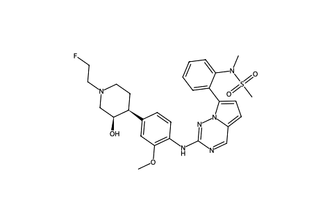 COc1cc([C@@H]2CCN(CCF)C[C@@H]2O)ccc1Nc1ncc2ccc(-c3ccccc3N(C)S(C)(=O)=O)n2n1